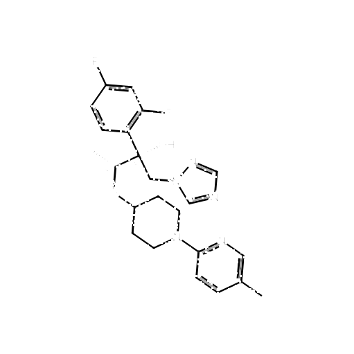 Cc1ccc(N2CCC(O[C@H](C)[C@](O)(Cn3cncn3)c3ccc(F)cc3F)CC2)nc1